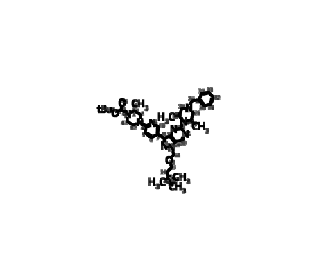 C[C@@H]1CN(c2ccc(-c3nn(COCC[Si](C)(C)C)c4cnc(N5[C@H](C)CN(Cc6ccccc6)C[C@@H]5C)nc34)cn2)CCN1C(=O)OC(C)(C)C